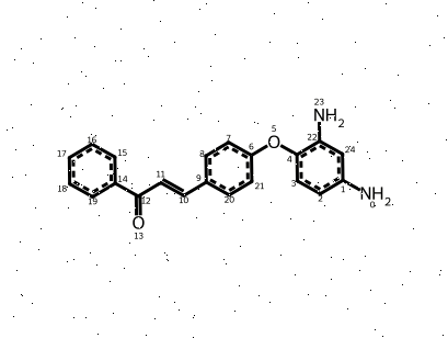 Nc1ccc(Oc2ccc(C=CC(=O)c3ccccc3)cc2)c(N)c1